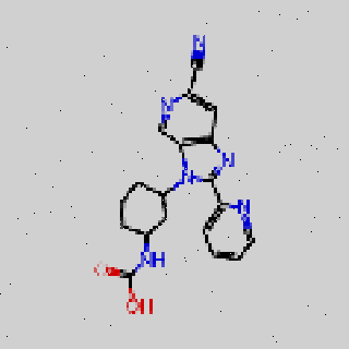 N#Cc1cc2nc(-c3ccccn3)n(C3CCCC(NC(=O)O)C3)c2cn1